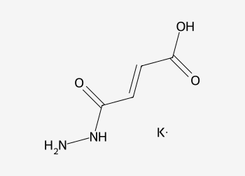 NNC(=O)C=CC(=O)O.[K]